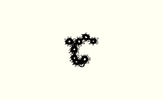 c1ccc(-c2cccc(-c3ccc(N(c4ccccc4)c4ccc(-c5ccc6ccc7oc8ccccc8c7c6c5)cc4)cc3)c2)cc1